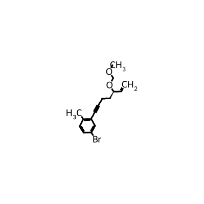 C=C[C@@H](CCC#Cc1cc(Br)ccc1C)OCOC